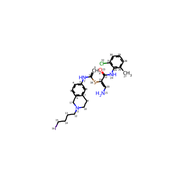 C=C(Nc1ccc2c(c1)CCN(CCCCI)C2)S/C(=C\N)C(=O)Nc1c(C)cccc1Cl